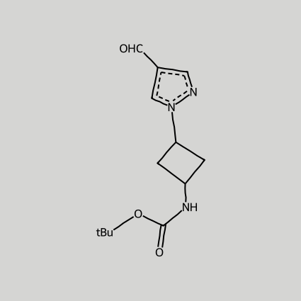 CC(C)(C)OC(=O)NC1CC(n2cc(C=O)cn2)C1